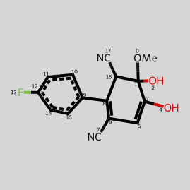 COC1(O)C(O)=CC(C#N)=C(c2ccc(F)cc2)C1C#N